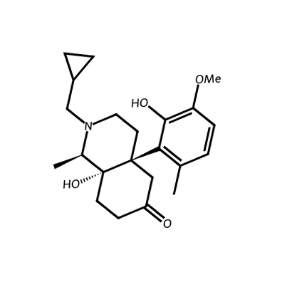 COc1ccc(C)c([C@]23CCN(CC4CC4)[C@H](C)[C@]2(O)CCC(=O)C3)c1O